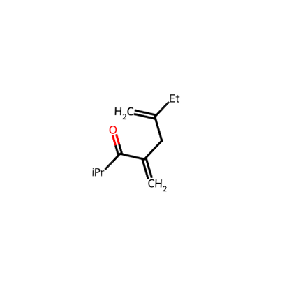 C=C(CC)CC(=C)C(=O)C(C)C